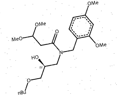 CCCCOC[C@@H](O)CN(Cc1ccc(OC)cc1OC)C(=O)CC(OC)OC